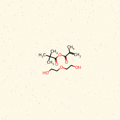 C=C(C)C(=O)OC(=O)C(C)(C)C.OCCOCCO